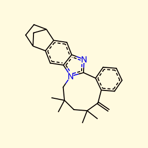 C=C1c2ccccc2-c2nc3cc4c(cc3n2CC(C)(C)CC1(C)C)C1CCC4C1